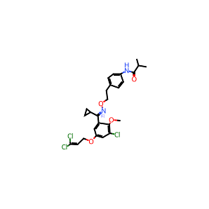 COc1c(Cl)cc(OCC=C(Cl)Cl)cc1/C(=N/OCCc1ccc(NC(=O)C(C)C)cc1)C1CC1